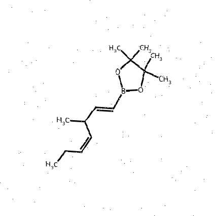 CC/C=C\C(C)/C=C/B1OC(C)(C)C(C)(C)O1